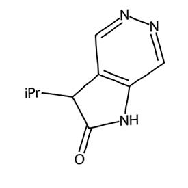 CC(C)C1C(=O)Nc2cnncc21